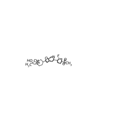 CC(C)(O)CN1CCC(c2cc3cc(-c4ccc(S(C)(=O)=O)cc4F)ncc3o2)CC1